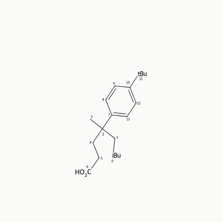 CCC(C)CC(C)(CCC(=O)O)c1ccc(C(C)(C)C)cc1